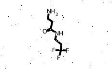 NCCC(=O)NCCC(F)(F)F